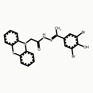 C/C(=N\NC(=O)CN1c2ccccc2Sc2ccccc21)c1cc(Br)c(O)c(Br)c1